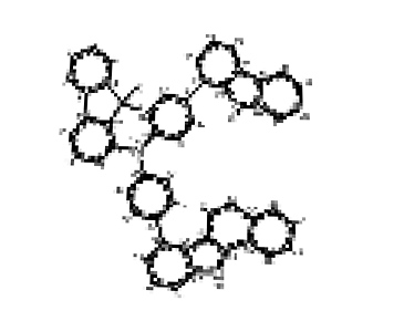 CC1(C)c2ccccc2-c2cccc(N(c3ccc(-c4cccc5c4sc4ccccc45)cc3)c3ccc(-c4cccc5oc6c7ccccc7ccc6c45)cc3)c21